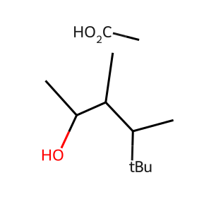 CC(=O)O.CC(O)C(C)C(C)C(C)(C)C